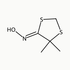 CC1(C)SCS/C1=N\O